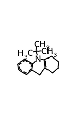 CC(C)(C)N1C2=C(CCCC2)Cc2ccccc21